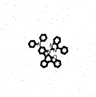 c1ccc(-c2nc(-n3c4cc(N(c5ccccc5)c5ccccc5)ccc4c4c5ccccc5c5c6ccccc6oc5c43)nc3ccccc23)cc1